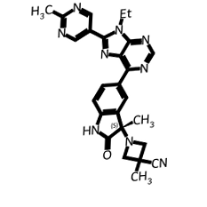 CCn1c(-c2cnc(C)nc2)nc2c(-c3ccc4c(c3)[C@](C)(N3CC(C)(C#N)C3)C(=O)N4)ncnc21